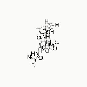 CC(C)C=C(C#N)C(=O)NCCCCC(NC(=O)[C@@H](NC(=O)C(C)C)[C@@H](C)O)C(=O)N[C@@H](CC(C)C)B1O[C@@H]2C[C@@H]3C[C@@H](C3(C)C)[C@]2(C)O1